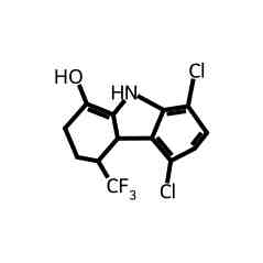 OC1=C2Nc3c(Cl)ccc(Cl)c3C2C(C(F)(F)F)CC1